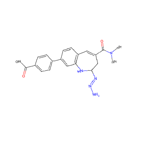 CCCN(CCC)C(=O)C1=Cc2ccc(-c3ccc(C(=O)N=O)cc3)cc2NC(N=NN)C1